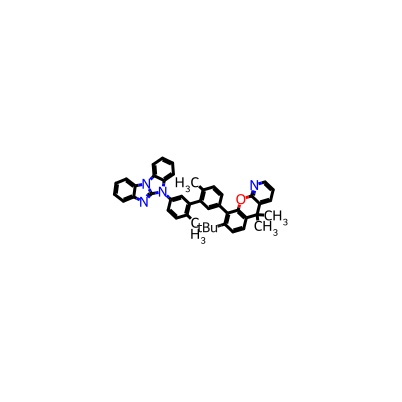 Cc1ccc(-c2c(C(C)(C)C)ccc3c2Oc2ncccc2C3(C)C)cc1-c1cc(-n2c3ccccc3n3c4ccccc4nc23)ccc1C